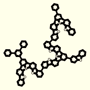 c1ccc(-c2cc(-c3ccccc3)cc(-c3cc4c5ccc6c7ccccc7oc6c5n5c4c(c3)c3ccc4c(oc6cccc(-c7ccc8oc9c(ccc%10c%11cc(-c%12ccc%13oc%14ccccc%14c%13c%12)cc%12c%13ccc%14c(oc%15cccc(-c%16ccc%17oc%18c(ccc%19c%20cc(-c%21ccccc%21)cc%21c%22ccc%23c%24ccccc%24oc%23c%22n(c%21%20)c%19%18)c%17c%16)c%15%14)c%13n(c%11%12)c%109)c8c7)c64)c35)c2)cc1